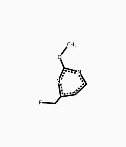 COc1nccc(CF)n1